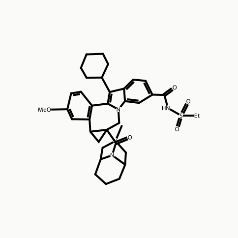 CCS(=O)(=O)NC(=O)c1ccc2c(C3CCCCC3)c3n(c2c1)CC1(C(=O)N2C4CCCC2CN(C)C4)CC1c1cc(OC)ccc1-3